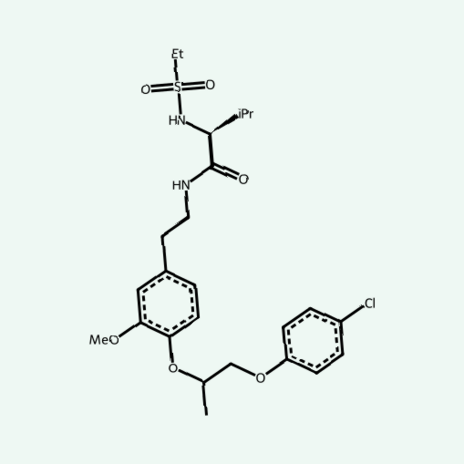 CCS(=O)(=O)N[C@H](C(=O)NCCc1ccc(OC(C)COc2ccc(Cl)cc2)c(OC)c1)C(C)C